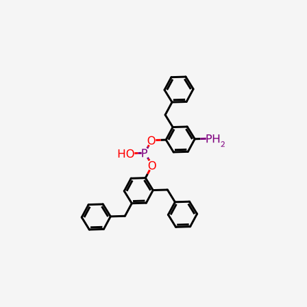 OP(Oc1ccc(P)cc1Cc1ccccc1)Oc1ccc(Cc2ccccc2)cc1Cc1ccccc1